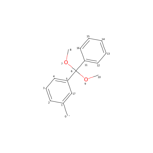 [CH2]c1cccc(C(OC)(OC)c2ccccc2)c1